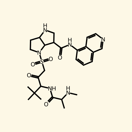 CNC(C)C(=O)NC(C(=O)CS(=O)(=O)N1CCC2NCC(C(=O)Nc3cccc4cnccc34)C21)C(C)(C)C